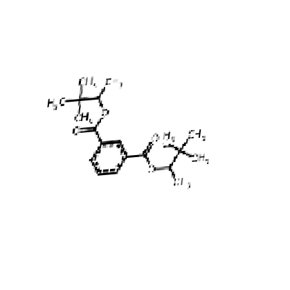 CC(OC(=O)c1cccc(C(=O)OC(C)C(C)(C)C)c1)C(C)(C)C